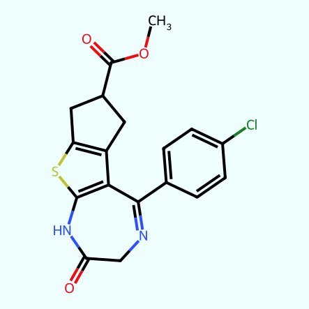 COC(=O)C1Cc2sc3c(c2C1)C(c1ccc(Cl)cc1)=NCC(=O)N3